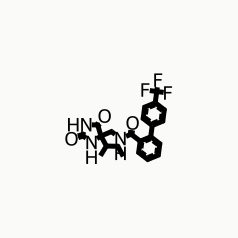 CCC(C)C1(CNC(=O)c2ccccc2-c2ccc(C(F)(F)F)cc2)NC(=O)NC1=O